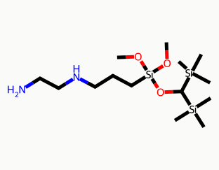 CO[Si](CCCNCCN)(OC)OC([Si](C)(C)C)[Si](C)(C)C